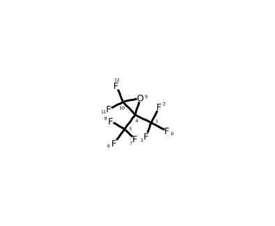 FC(F)(F)C1(C(F)(F)F)OC1(F)F